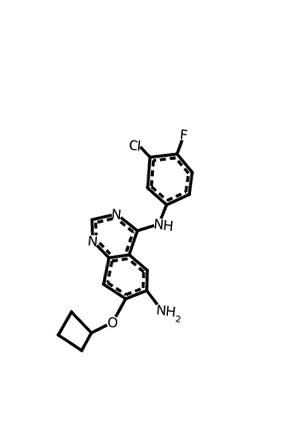 Nc1cc2c(Nc3ccc(F)c(Cl)c3)ncnc2cc1OC1CCC1